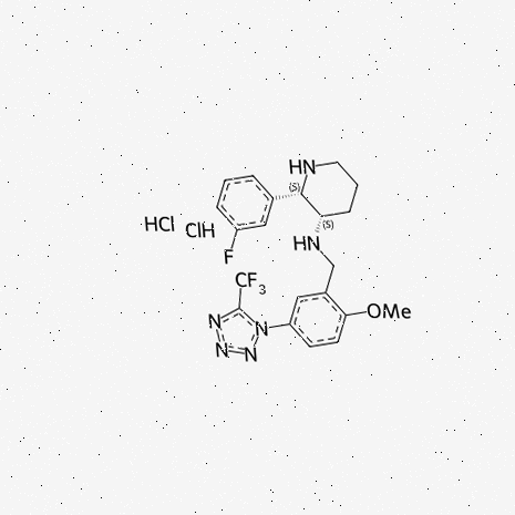 COc1ccc(-n2nnnc2C(F)(F)F)cc1CN[C@H]1CCCN[C@H]1c1cccc(F)c1.Cl.Cl